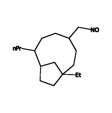 CCCC1CCC(CN=O)CCC2(CC)CCC1C2